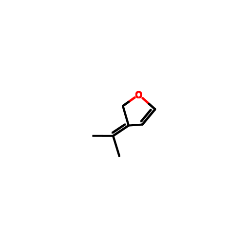 CC(C)=C1C=COC1